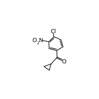 O=C(c1ccc(Cl)c([N+](=O)[O-])c1)C1CC1